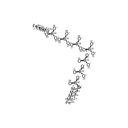 [Fe+3].[Fe+3].[Fe+3].[Mg+2].[Mg+2].[Mg+2].[Mn+2].[Mn+2].[Mn+2].[O-]B([O-])[O-].[O-]B([O-])[O-].[O-]B([O-])[O-].[O-]B([O-])[O-].[O-]B([O-])[O-].[O-]B([O-])[O-].[O-]B([O-])[O-]